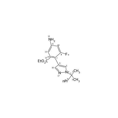 CCCC(C)(C)n1cc(-c2c(F)cc(N)cc2C(=O)OCC)cn1